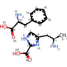 C[C@@H](N)Cc1c[nH]c(C(=O)O)n1.N[C@@H](Cc1ccccc1)C(=O)O